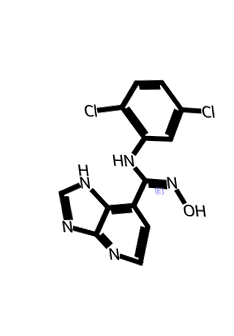 O/N=C(/Nc1cc(Cl)ccc1Cl)c1ccnc2nc[nH]c12